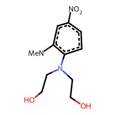 CNc1cc([N+](=O)[O-])ccc1N(CCO)CCO